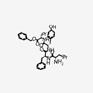 CC(C)C[C@H](N)C(=O)N[C@@H](Cc1ccccc1)C(=O)N[C@@H](Cc1ccc(O)cc1)C(=O)N[C@H](C(=O)OCc1ccccc1)C(C)C